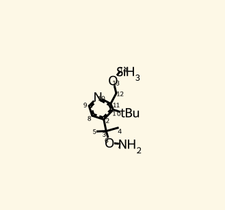 CC(C)(C)c1c(C(C)(C)ON)ccnc1CO[SiH3]